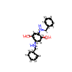 Oc1cc(NCc2ccccc2)c(O)cc1NCc1ccccc1